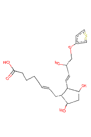 O=C(O)CCCC=CCC1C(O)CC(O)C1C=CC(O)COc1ccsc1